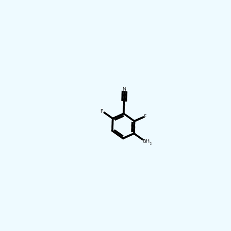 Bc1ccc(F)c(C#N)c1F